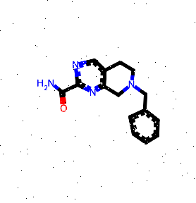 NC(=O)c1n[c]c2c(n1)CN(Cc1ccccc1)CC2